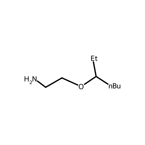 CCCCC(CC)OCCN